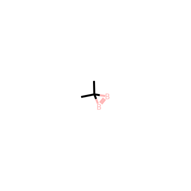 CC1(C)B=B1